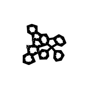 c1ccc(C2(c3ccccc3)c3ccccc3-c3cc4c5ccccc5n5c6nc7ccccc7nc6c(c32)c45)cc1